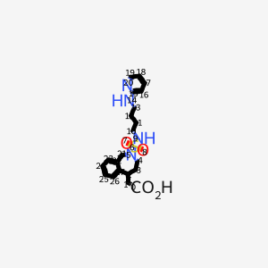 O=C(O)CC1CCN(S(=O)(=O)NCCCCNc2ccccn2)Cc2ccccc21